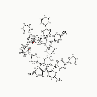 CC(C)(C)c1ccc2c(c1)N(c1ccc(-c3ccccc3)cc1)c1cc(-c3ccc4c(c3)c3cc(-c5nc(-c6ccccc6)nc(-c6ccccc6)n5)ccc3n4-c3ccc(C(F)(F)F)cc3-c3nc(-c4ccccc4)nc(-c4ccccc4)n3)cc3c1B2c1ccc(C(C)(C)C)cc1N3c1ccc(-c2ccccc2)cc1